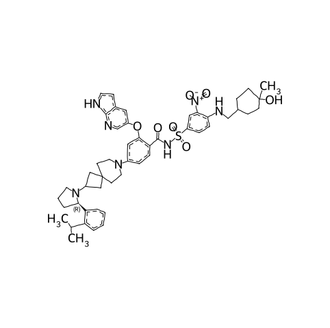 CC(C)c1ccccc1[C@H]1CCCN1C1CC2(CCN(c3ccc(C(=O)NS(=O)(=O)c4ccc(NCC5CCC(C)(O)CC5)c([N+](=O)[O-])c4)c(Oc4cnc5[nH]ccc5c4)c3)CC2)C1